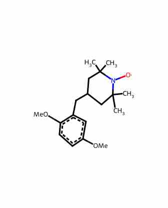 COc1ccc(OC)c(CC2CC(C)(C)N([O])C(C)(C)C2)c1